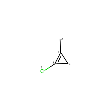 [CH2]C1=C(Cl)C1